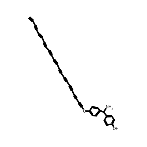 C#CC#CC#CC#CC#CC#CC#CC#CC#CC#CC#COc1ccc(C(N)c2ccc(O)cc2)cc1